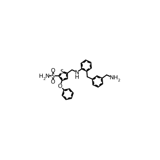 NCc1cccc(Cc2ccccc2NCc2cc(Oc3ccccc3)c(S(N)(=O)=O)s2)c1